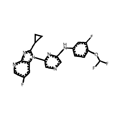 Fc1cnc2nc(C3CC3)n(-c3cncc(Nc4ccc(OC(F)F)c(F)c4)n3)c2c1